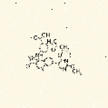 COc1ncc(-c2ccc3c(Nc4cc(OC(C)C)cc(C(=O)O)c4)c(C(N)=O)cnc3c2)c(OC)n1